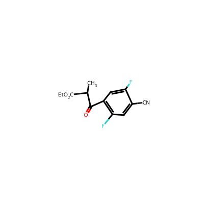 CCOC(=O)C(C)C(=O)c1cc(F)c(C#N)cc1F